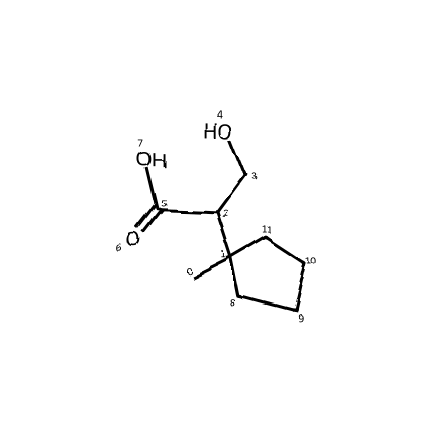 CC1(C(CO)C(=O)O)CCCC1